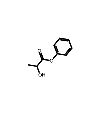 CC(O)C(=O)Oc1ccccc1